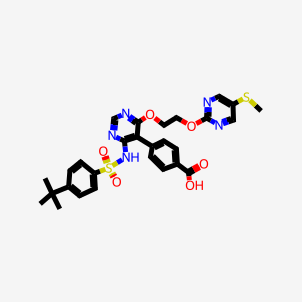 CSc1cnc(OCCOc2ncnc(NS(=O)(=O)c3ccc(C(C)(C)C)cc3)c2-c2ccc(C(=O)O)cc2)nc1